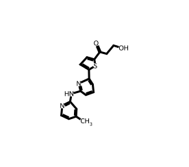 Cc1ccnc(Nc2cccc(-c3ccc(C(=O)CCO)s3)n2)c1